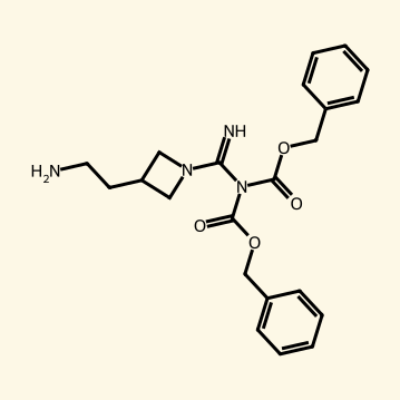 N=C(N1CC(CCN)C1)N(C(=O)OCc1ccccc1)C(=O)OCc1ccccc1